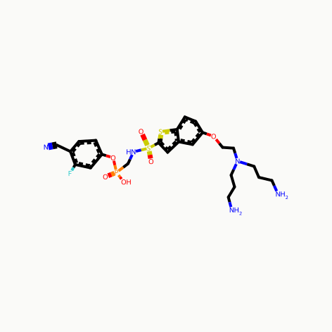 N#Cc1ccc(OP(=O)(O)CNS(=O)(=O)c2cc3cc(OCCN(CCCN)CCCN)ccc3s2)cc1F